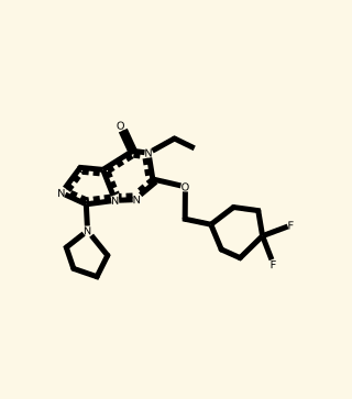 CCn1c(OCC2CCC(F)(F)CC2)nn2c(N3CCCC3)ncc2c1=O